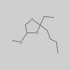 CCCCC1(CC)OCC(OC)O1